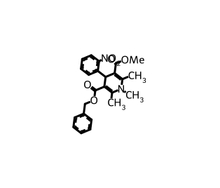 COC(=O)C1=C(C)N(C)C(C)=C(C(=O)OCc2ccccc2)C1c1ccccc1[N+](=O)[O-]